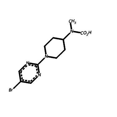 CN(C(=O)O)C1CCN(c2ncc(Br)cn2)CC1